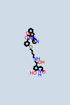 O=C(O)[C@]1(NCc2cccc(OCCCCCNCC(O)c3ccc(O)c4[nH]c(=O)ccc34)c2)c2ccccc2CC1C1CN2CCC1CC2